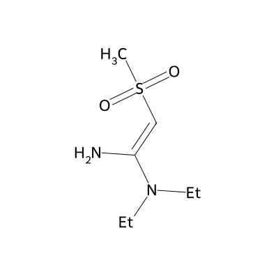 CCN(CC)C(N)=CS(C)(=O)=O